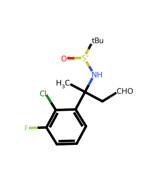 CC(CC=O)(N[S+]([O-])C(C)(C)C)c1cccc(F)c1Cl